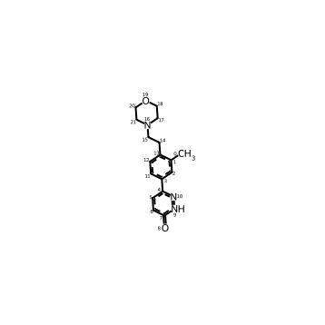 Cc1cc(-c2ccc(=O)[nH]n2)ccc1CCN1CCOCC1